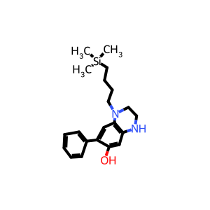 C[Si](C)(C)CCCCN1CCNc2cc(O)c(-c3ccccc3)cc21